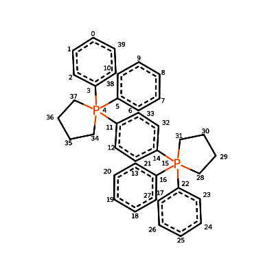 c1ccc(P2(c3ccccc3)(c3ccc(P4(c5ccccc5)(c5ccccc5)CCCC4)cc3)CCCC2)cc1